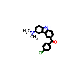 CN(C)C1CCc2[nH]c3ccc(C(=O)c4ccc(Cl)cc4)cc3c2C1